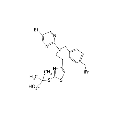 CCc1cnc(N(CCc2csc(SC(C)(C)C(=O)O)n2)Cc2ccc(CC(C)C)cc2)nc1